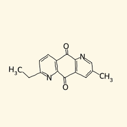 CCc1ccc2c(n1)C(=O)c1cc(C)cnc1C2=O